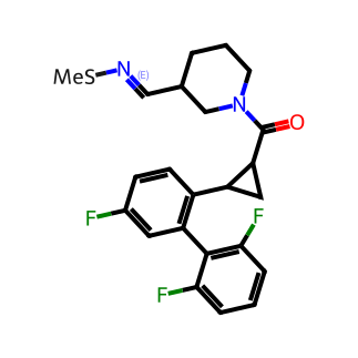 CS/N=C/C1CCCN(C(=O)C2CC2c2ccc(F)cc2-c2c(F)cccc2F)C1